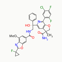 COc1cc(C(=O)NC[C@@](O)(c2ccccc2)c2cc3c(c(-c4cc(Cl)c(F)cc4F)n2)OC[C@]3(C)C(N)=O)cc2oc(C3(F)CC3)nc12